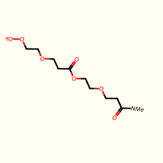 CNC(=O)CCOCCOC(=O)CCOCCOO